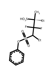 CCC(C(F)(F)[C@@](C)(CC)S(=O)(=O)O)S(=O)(=O)Oc1ccccc1